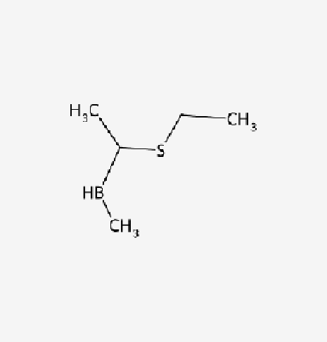 CBC(C)SCC